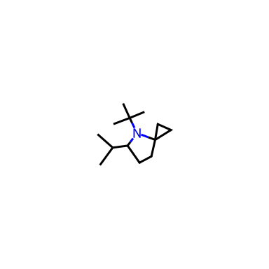 CC(C)C1CCC2(CC2)N1C(C)(C)C